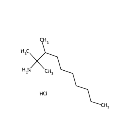 CCCCCCCC(C)C(C)(C)N.Cl